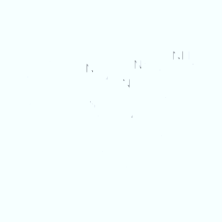 NC1=NN(c2nc3ccccc3s2)C(c2ccccc2)C1